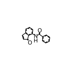 O=C(Nc1cccc2c1C(=O)C=C2)c1ccccc1